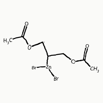 CC(=O)O[CH][CH](COC(C)=O)[Zn]([Br])[Br]